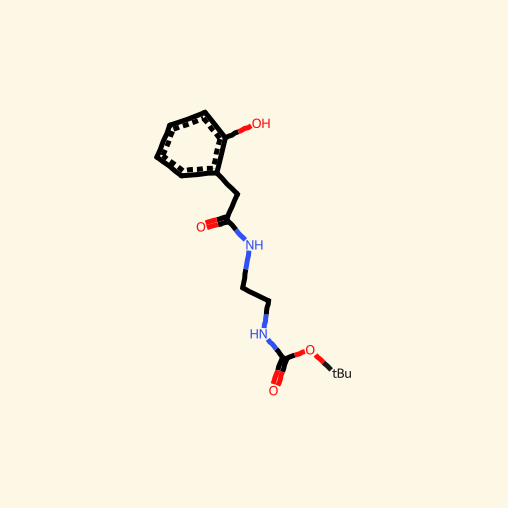 CC(C)(C)OC(=O)NCCNC(=O)Cc1ccccc1O